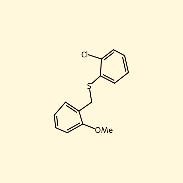 COc1ccccc1CSc1ccccc1Cl